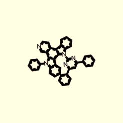 c1ccc(-c2cc(-c3ccccc3)nc(-n3c4ccccc4c4c5ccncc5c5c(c6ccccc6n5-c5ccccc5)c43)n2)cc1